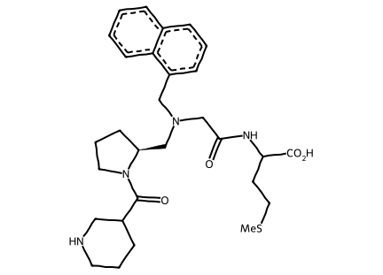 CSCCC(NC(=O)CN(Cc1cccc2ccccc12)C[C@@H]1CCCN1C(=O)C1CCCNC1)C(=O)O